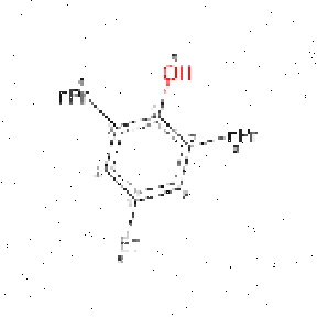 [CH2]Cc1cc(CCC)c(O)c(CCC)c1